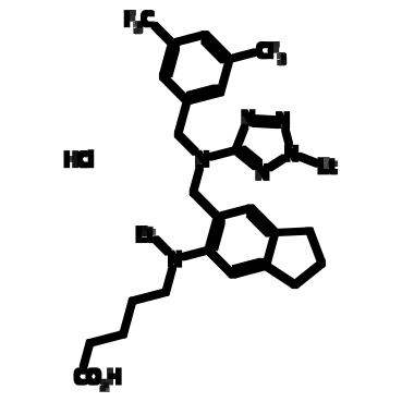 CCN(CCCCC(=O)O)c1cc2c(cc1CN(Cc1cc(C(F)(F)F)cc(C(F)(F)F)c1)c1nnn(CC)n1)CCC2.Cl